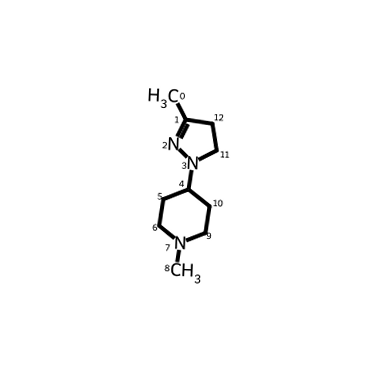 CC1=NN(C2CCN(C)CC2)CC1